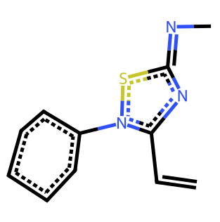 C=Cc1nc(=NC)sn1-c1ccccc1